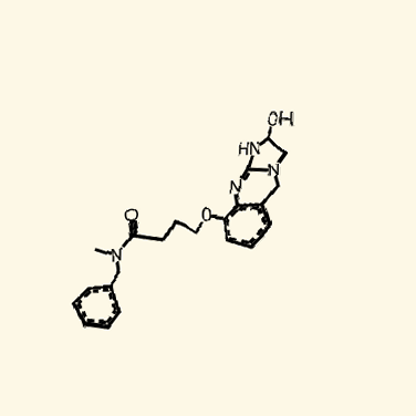 CN(Cc1ccccc1)C(=O)CCCOc1cccc2c1N=C1NC(O)CN1C2